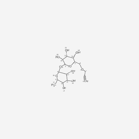 C#CCOCC1OC(OC2OC(C)C(O)C(O)C2O)C(O)C(O)C1O